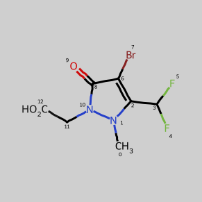 Cn1c(C(F)F)c(Br)c(=O)n1CC(=O)O